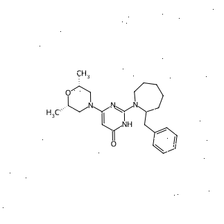 C[C@@H]1CN(c2cc(=O)[nH]c(N3CCCCCC3Cc3ccccc3)n2)C[C@H](C)O1